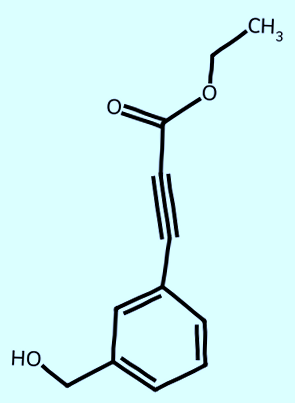 CCOC(=O)C#Cc1cccc(CO)c1